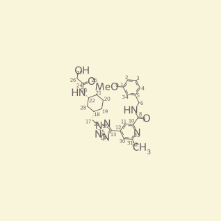 COc1cccc(CNC(=O)c2cc(-c3nnn(C[C@H]4CCC[C@@H](NC(=O)CO)C4)n3)cc(C)n2)c1